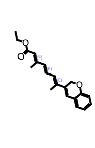 CCOC(=O)/C=C(C)/C=C/C=C(\C)C1=Cc2ccccc2OC1